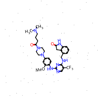 COc1cc(N2CCN(C(=O)CCCN(C)C)CC2)ccc1Nc1ncc(C(F)(F)F)c(NCc2cccc3c2CC(=O)N3)n1